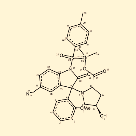 COc1ncccc1C1(N2C[C@H](O)C[C@H]2C(=O)ON(C)C)C(=O)N(S(=O)(=O)c2ccc(C)cn2)c2ccc(C#N)cc21